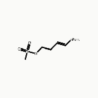 CCCCCC=CCCOS(C)(=O)=O